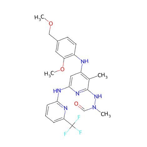 COCc1ccc(Nc2cc(Nc3cccc(C(F)(F)F)n3)nc(NN(C)C=O)c2C)c(OC)c1